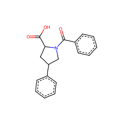 O=C(O)C1CC(c2ccccc2)CN1C(=O)c1ccccc1